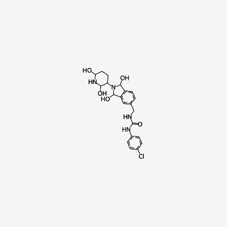 O=C(NCc1ccc2c(c1)C(O)N(C1CCC(O)NC1O)C2O)Nc1ccc(Cl)cc1